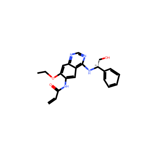 C=CC(=O)Nc1cc2c(N[C@H](CO)c3ccccc3)ncnc2cc1OCC